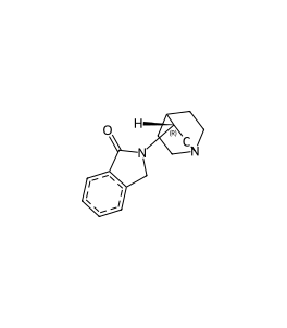 O=C1c2ccccc2CN1[C@H]1CN2CCC1CC2